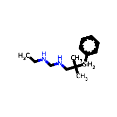 CCNCNCC(C)(C)[SiH2]c1ccccc1